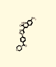 Bc1ccc2cc(-c3cn(-c4ccc(C(=O)N5CCOCC5)cc4)nn3)c(=O)[nH]c2c1